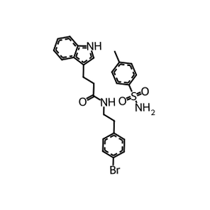 Cc1ccc(S(N)(=O)=O)cc1.O=C(CCc1c[nH]c2ccccc12)NCCc1ccc(Br)cc1